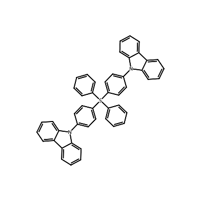 c1ccc(S(c2ccccc2)(c2ccc(-n3c4ccccc4c4ccccc43)cc2)c2ccc(-n3c4ccccc4c4ccccc43)cc2)cc1